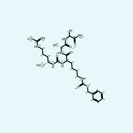 CC(C)C(NC(=O)[C@H](NC(=O)C(CCCCNC(=O)OCc1ccccc1)NC(=O)N[C@@H](CCCNC(=N)N)C(=O)O)C(C)C)C(N)=O